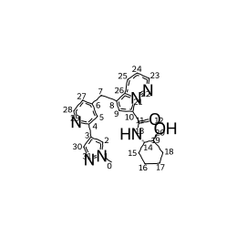 Cn1cc(-c2cc(Cc3cc(C(=O)N[C@H]4CCCC[C@@H]4O)n4ncccc34)ccn2)cn1